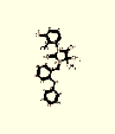 CC1(C)C(=O)N(c2cccc(Cl)c2Cl)C(=O)N1Cc1ccccc1Cc1ccccc1